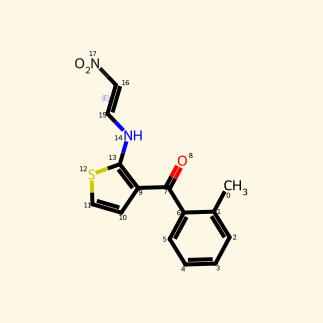 Cc1ccccc1C(=O)c1ccsc1N/C=C/[N+](=O)[O-]